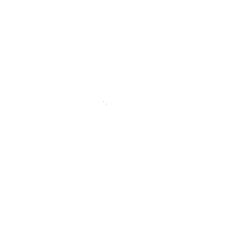 CC(C)(C)OC(=O)N1C(c2cc(F)cc(Br)c2)COS1=O